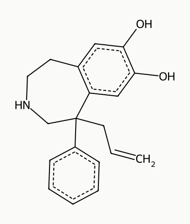 C=CCC1(c2ccccc2)CNCCc2cc(O)c(O)cc21